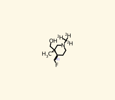 [2H]C([2H])([2H])N1CC/C(=C\F)[C@](C)(CO)C1